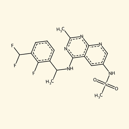 Cc1nc(NC(C)c2cccc(C(F)F)c2F)c2cc(NS(C)(=O)=O)cnc2n1